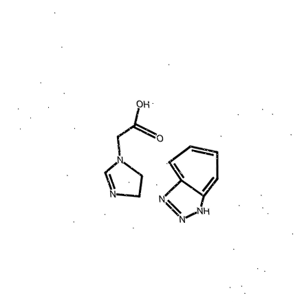 O=C(O)CN1C=NCC1.c1ccc2[nH]nnc2c1